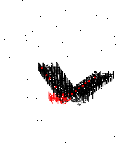 O=C(O)O.O=C(O)O.O=C(O)O.O=C(O)O.O=C(O)O.[NaH].[NaH].[NaH].[NaH].[NaH].[NaH].[NaH].[NaH].[NaH].[NaH].[NaH].[NaH].[NaH].[NaH].[NaH].[NaH].[NaH].[NaH].[NaH].[NaH].[NaH].[NaH].[NaH].[NaH].[NaH].[NaH].[NaH].[NaH].[NaH].[NaH].[NaH].[NaH]